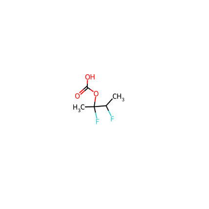 CC(F)C(C)(F)OC(=O)O